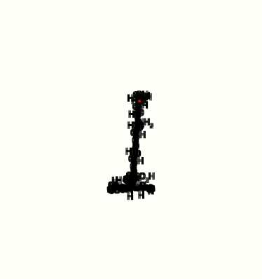 Cc1ccccc1NC(=O)Nc1ccc(CC(=O)N[C@@H](CCCCNC(=O)/C=C/c2cccnc2)C(=O)N[C@@H](CCCC(=O)O)C(=O)NC2(C(=O)NCCOCCOCCNC(=O)CCC(=O)NCCOCCOCCNC(=O)CCC(=O)N[C@@H](CCCCNC(=O)CCC(=O)NCCCC(O)(P(=O)(O)O)P(=O)(O)O)C(N)=O)CCCCC2)cc1